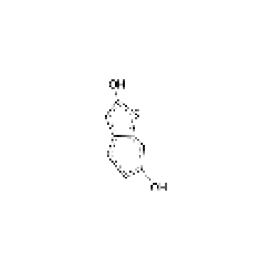 Oc1ccc2cc(O)sc2c1